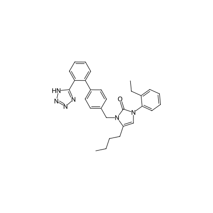 CCCCc1cn(-c2ccccc2CC)c(=O)n1Cc1ccc(-c2ccccc2-c2nnn[nH]2)cc1